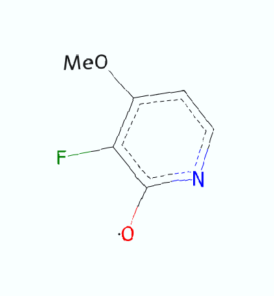 COc1ccnc([O])c1F